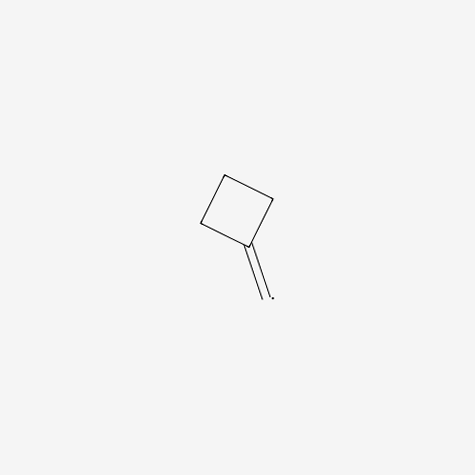 [CH]=C1CCC1